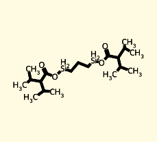 CC(C)C(C(=O)O[SiH2]CCC[SiH2]OC(=O)C(C(C)C)C(C)C)C(C)C